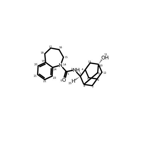 O=C(N[C@H]1C2CC3CC1C[C@](O)(C3)C2)N1CCCCc2ccccc21